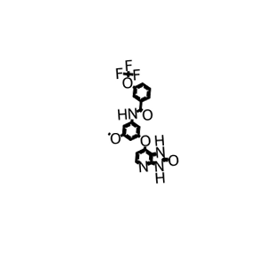 COc1cc(NC(=O)c2cccc(OC(F)(F)F)c2)cc(Oc2ccnc3[nH]c(=O)[nH]c23)c1